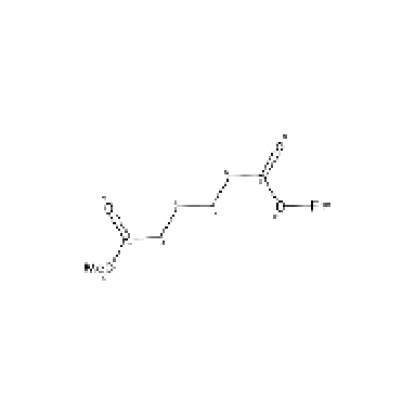 COC(=O)CCCCC(=O)OF